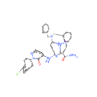 NC(=O)c1cnn2c(N(Cc3ccccc3)Cc3ccccc3)cc(Nc3ccnn(-c4ccc(F)cc4)c3=O)nc12